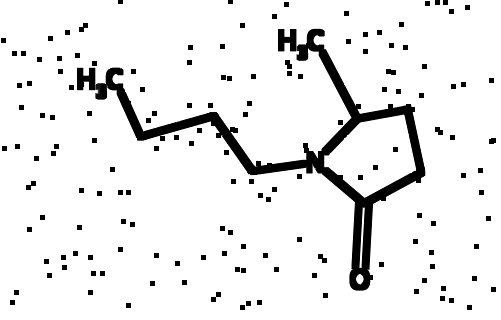 CCCCN1C(=O)CCC1C